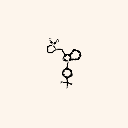 O=S1(=O)CCCN1Cc1nn(-c2ccc(C(F)(F)F)cc2)c2ccccc12